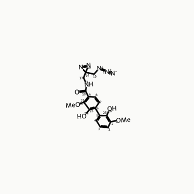 COc1cccc(-c2ccc(C(=O)NCC3(CN=[N+]=[N-])N=N3)c(OC)c2O)c1O